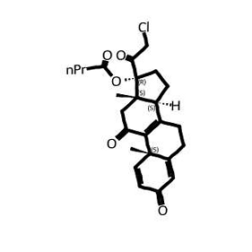 CCCC(=O)O[C@]1(C(=O)CCl)CC[C@H]2C3=C(C(=O)C[C@@]21C)[C@@]1(C)C=CC(=O)C=C1CC3